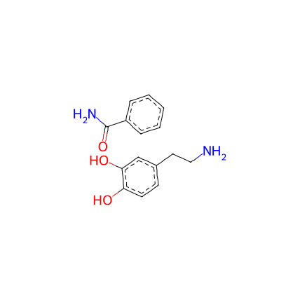 NC(=O)c1ccccc1.NCCc1ccc(O)c(O)c1